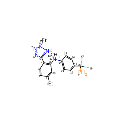 CCc1ccc(-c2nnn(CC)n2)c(N(C)c2ccc(C(F)(F)P)cc2)c1